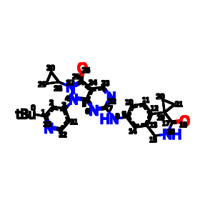 CC(C)(C)c1cc(-n2c3nc(Nc4ccc5c(c4)CNC(=O)C54CC4)ncc3c(=O)n2C2CC2)ccn1